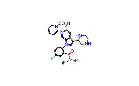 CC(C)N(C(=O)c1cc(F)ccc1-n1cc(C2CNCCN2)c2ccncc21)C(C)C.O=C(O)N1C=CC=CC1